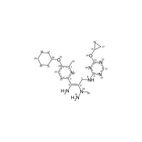 Cc1nc(/C(N)=C(\CNc2ncnc(OC3CC3)n2)N(C)N)ccc1OC1CCCCC1